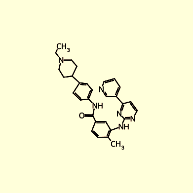 CCN1CCC(c2ccc(NC(=O)c3ccc(C)c(Nc4nccc(-c5cccnc5)n4)c3)cc2)CC1